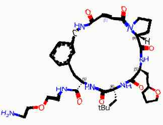 CC(C)(C)C[C@H]1NC(=O)[C@H](CC2CCCO2)NC(=O)[C@H]2CCCN2C(=O)/C=C/C(=O)NCc2cccc(c2)C[C@@H](C(=O)NCCOCCN)NC1=O